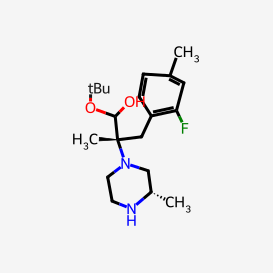 Cc1ccc(C[C@@](C)(C(O)OC(C)(C)C)N2CCN[C@@H](C)C2)c(F)c1